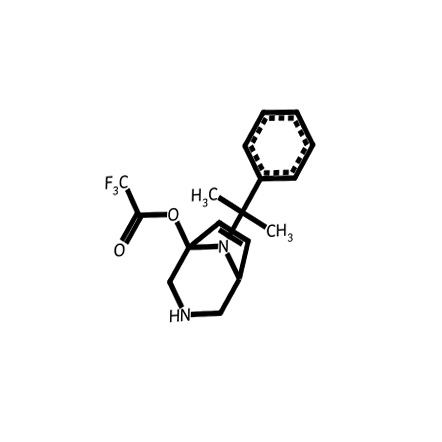 CC(C)(c1ccccc1)N1C2C=CC1(OC(=O)C(F)(F)F)CNC2